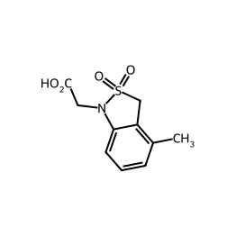 Cc1cccc2c1CS(=O)(=O)N2CC(=O)O